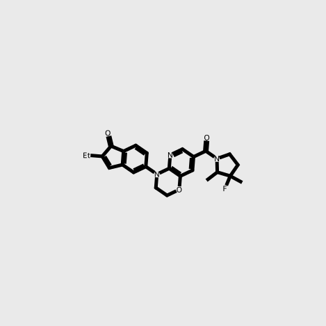 CCC1=Cc2cc(N3CCOc4cc(C(=O)N5CCC(C)(F)C5C)cnc43)ccc2C1=O